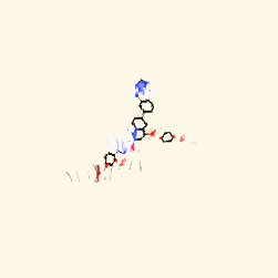 COC[C@H](Cc1ccc(OC(C)(C)C)cc1)NC(=O)c1cc(C(=O)Oc2ccc(OC)cc2)c2cc(-c3cccc(Cn4cccn4)c3)ccc2n1